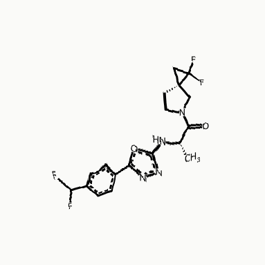 C[C@H](Nc1nnc(-c2ccc(C(F)F)cc2)o1)C(=O)N1CC[C@]2(C1)CC2(F)F